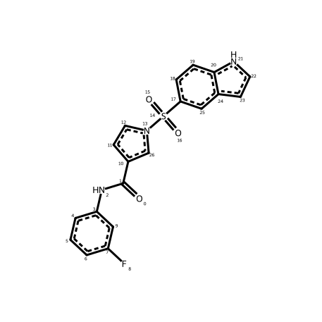 O=C(Nc1cccc(F)c1)c1ccn(S(=O)(=O)c2ccc3[nH]ccc3c2)c1